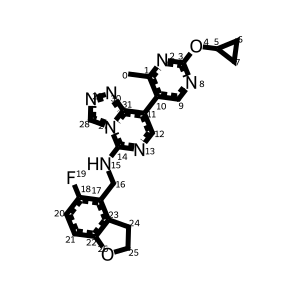 Cc1nc(OC2CC2)ncc1-c1cnc(NCc2c(F)ccc3c2CCO3)n2cnnc12